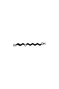 CCC=CCOCCCCCCO